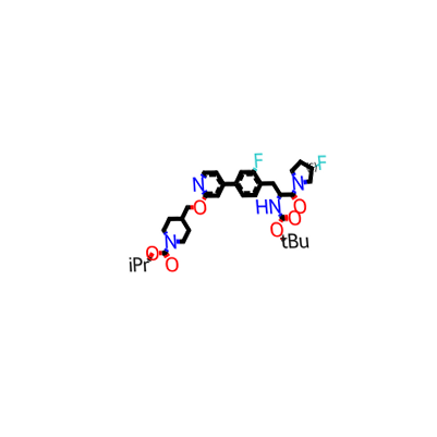 CC(C)OC(=O)N1CCC(COc2cc(-c3ccc(CC(NC(=O)OC(C)(C)C)C(=O)N4CC[C@H](F)C4)c(F)c3)ccn2)CC1